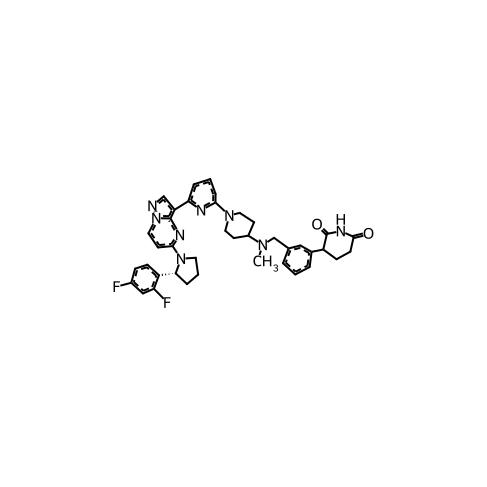 CN(Cc1cccc(C2CCC(=O)NC2=O)c1)C1CCN(c2cccc(-c3cnn4ccc(N5CCC[C@@H]5c5ccc(F)cc5F)nc34)n2)CC1